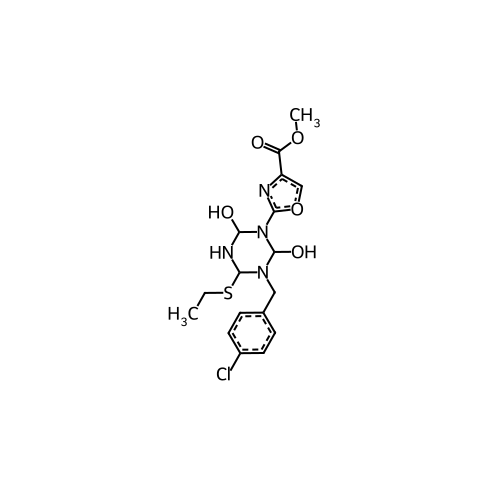 CCSC1NC(O)N(c2nc(C(=O)OC)co2)C(O)N1Cc1ccc(Cl)cc1